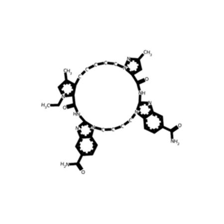 CCn1cc(C)c2c1C(=O)Nc1nc3cc(C(N)=O)ccc3n1CCCCn1c(nc3cc(C(N)=O)ccc31)NC(=O)c1cc(C)nn1CCCCC2